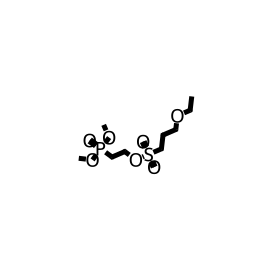 CCOCCCS(=O)(=O)OCCP(=O)(OC)OC